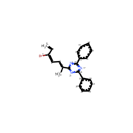 C=C/C(Br)=C\C=C(/C)c1nc(-c2ccccc2)nc(-c2ccccc2)n1